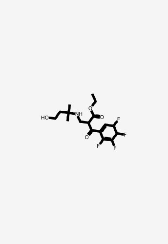 CCOC(=O)C(CNC(C)(C)CCO)C(=O)C1=CC(F)C(F)C(F)=C1F